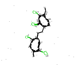 Cc1cc(Cl)c([CH]Cc2ccc(C)c(Cl)c2Cl)cc1Cl